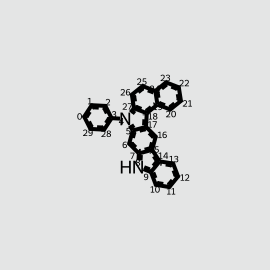 c1ccc(-n2c3cc4[nH]c5ccccc5c4cc3c3c4ccccc4ccc32)cc1